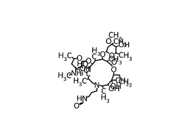 CCC1OC(=O)C(C)C(OC2CC(C)(OC)C(O)C(C)O2)C(C)C(OC2OC(C)CC(NC)C2O)C(C)(O)CC(C)CN(CCCNC=O)C(C)C(O)C1(C)O